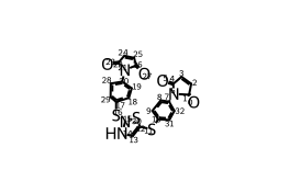 O=C1C=CC(=O)N1c1ccc(SC2=CNN(Sc3ccc(N4C(=O)C=CC4=O)cc3)S2)cc1